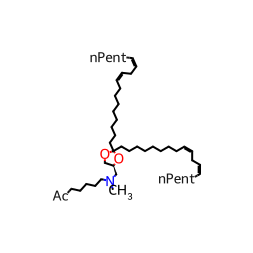 CCCCC/C=C\C/C=C\CCCCCCCCC1(CCCCCCCC/C=C\C/C=C\CCCCC)OC[C@H](CN(C)CCCCCC(C)=O)O1